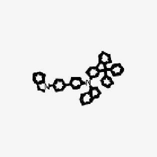 c1ccc(C2(c3ccccc3)c3ccccc3-c3ccc(N(c4ccc(-c5ccc(N6CCc7ccccc76)cc5)cc4)c4cccc5ccccc45)cc32)cc1